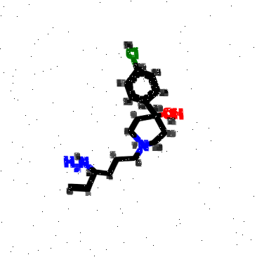 C=CC(N)CCCN1CCC(O)(c2ccc(Cl)cc2)CC1